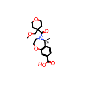 COCC1(C(=O)N2CCOc3cc(C(=O)O)ccc3[C@@H]2C)CCOCC1